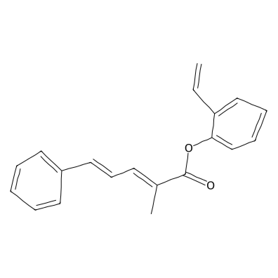 C=Cc1ccccc1OC(=O)C(C)=CC=Cc1ccccc1